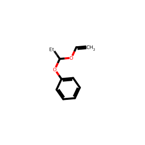 C=COC(CC)Oc1ccccc1